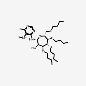 CCCCOC[C@H]1O[C@@H](Nc2ncnc(Cl)c2NC)[C@H](O)[C@H](OCCCC)[C@@H](OCCCC)[C@@H]1OCCCC